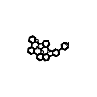 O=C1c2cccc(-n3c4ccccc4c4ccc(-c5ccncc5)cc43)c2C(=O)N1c1c(-c2ccccc2)cccc1-c1ccccc1